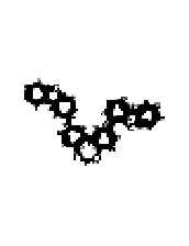 c1ccc2c(c1)oc1ccc(-c3ccc4c(c3)-c3cc(-c5cccc6c5oc5ccccc56)ccc3OCO4)cc12